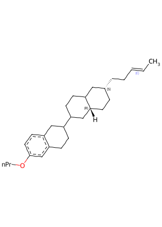 C/C=C/CC[C@@H]1CC[C@@H]2CC(C3CCc4cc(OCCC)ccc4C3)CCC2C1